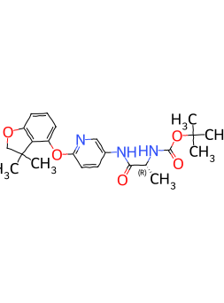 C[C@@H](NC(=O)OC(C)(C)C)C(=O)Nc1ccc(Oc2cccc3c2C(C)(C)CO3)nc1